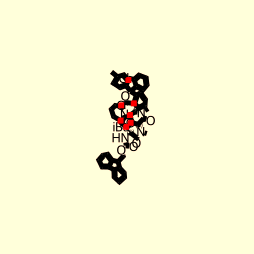 CC[C@H](C)[C@H](NC(=O)OCC1c2ccccc2-c2ccccc21)C(=O)N(C)[C@H](C(=O)N(C)[C@@H](CC(=O)OC(c1ccccc1)(c1ccc(C)cc1)c1ccccc1Cl)C(=O)N1CCCCC1)C1CCCC1